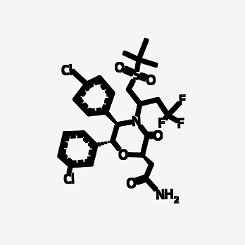 CC(C)(C)S(=O)(=O)CC(CC(F)(F)F)N1C(=O)[C@@H](CC(N)=O)O[C@H](c2cccc(Cl)c2)[C@H]1c1ccc(Cl)cc1